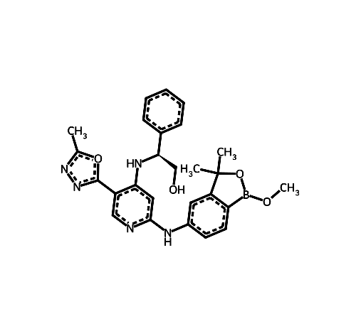 COB1OC(C)(C)c2cc(Nc3cc(N[C@H](CO)c4ccccc4)c(-c4nnc(C)o4)cn3)ccc21